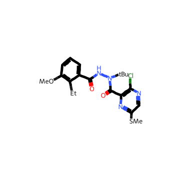 CCc1c(OC)cccc1C(=O)NN(C(=O)c1nc(SC)cnc1Cl)C(C)(C)C